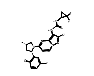 Fc1ccc(F)c([C@H]2C[C@H](F)CN2c2ccn3nc(Cl)c(NC(=S)NC4CC4(F)F)c3n2)c1